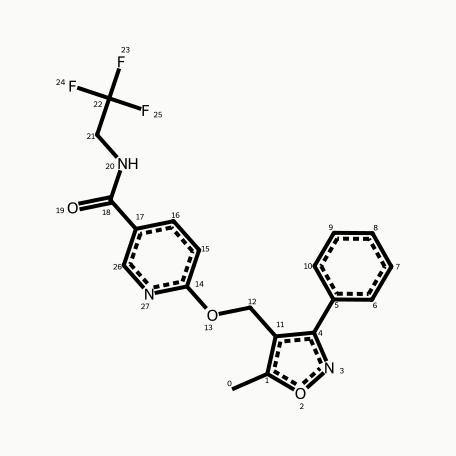 Cc1onc(-c2ccccc2)c1COc1ccc(C(=O)NCC(F)(F)F)cn1